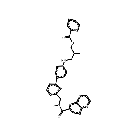 CC(CNc1ccc(-c2cccc(CN(C)C(=O)c3ccc4nccnc4c3)c2)cc1)COC(=O)c1ccccc1